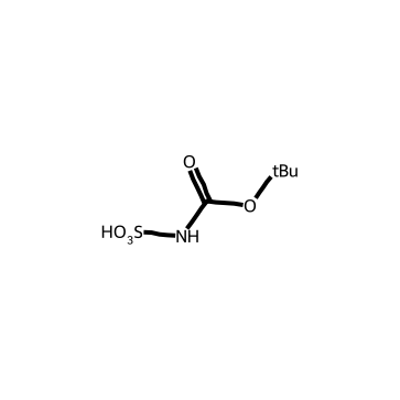 CC(C)(C)OC(=O)NS(=O)(=O)O